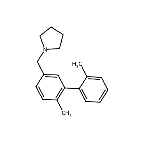 Cc1ccccc1-c1cc(CN2CCCC2)ccc1C